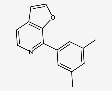 Cc1cc(C)cc(-c2nccc3ccoc23)c1